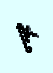 COC(=O)CCSCCN(CCCc1ccccc1)C(=O)c1cc(OC)c(C)c(OC)c1